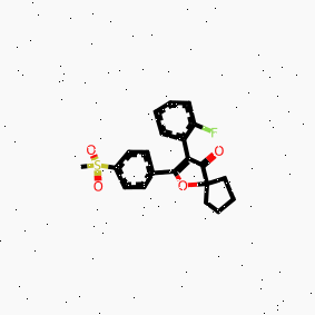 CS(=O)(=O)c1ccc(C2=C(c3ccccc3F)C(=O)C3(CCCC3)O2)cc1